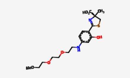 COCCOCCOCCNc1ccc(C2=N[C@@](C)(C(=O)O)CS2)c(O)c1